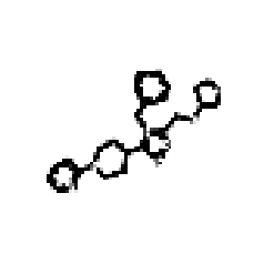 c1ccc(Cn2c(COC3CCOC3)nnc2C2CCN(c3ccccn3)CC2)cc1